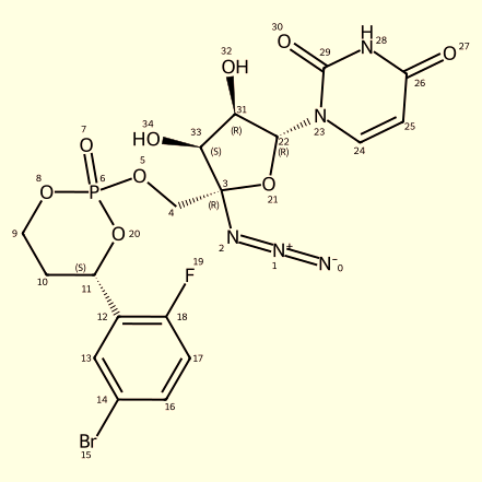 [N-]=[N+]=N[C@]1(COP2(=O)OCC[C@@H](c3cc(Br)ccc3F)O2)O[C@@H](n2ccc(=O)[nH]c2=O)[C@H](O)[C@@H]1O